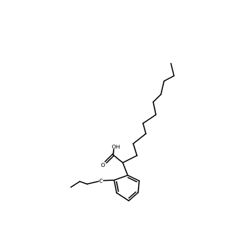 CCCCCCCCCCC(C(=O)O)c1ccccc1CCCC